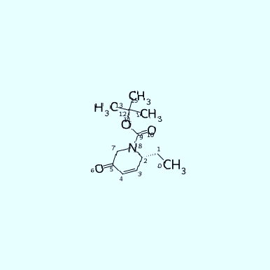 CC[C@@H]1C=CC(=O)CN1C(=O)OC(C)(C)C